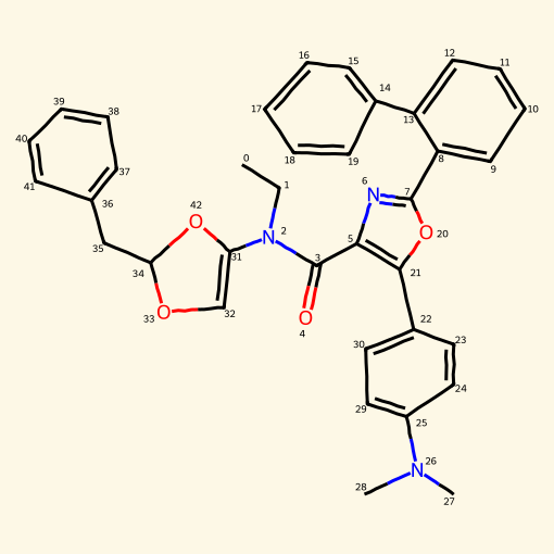 CCN(C(=O)c1nc(-c2ccccc2-c2ccccc2)oc1-c1ccc(N(C)C)cc1)C1=COC(Cc2ccccc2)O1